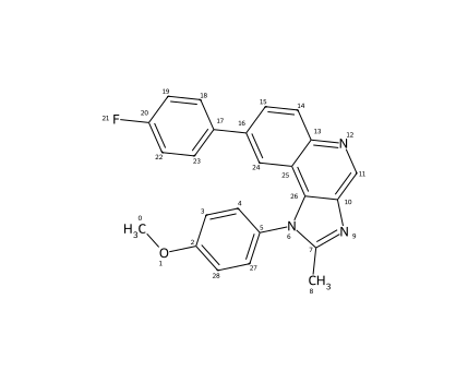 COc1ccc(-n2c(C)nc3cnc4ccc(-c5ccc(F)cc5)cc4c32)cc1